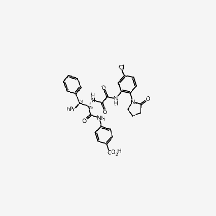 CCC[C@@H](c1ccccc1)[C@H](NC(=O)C(=O)Nc1cc(Cl)ccc1N1CCCC1=O)C(=O)Nc1ccc(C(=O)O)cc1